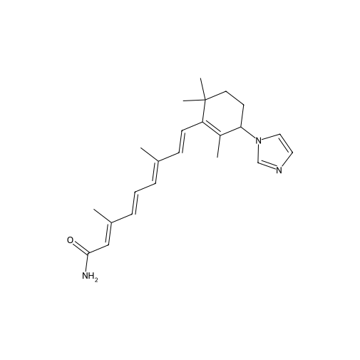 CC1=C(/C=C/C(C)=C/C=C/C(C)=C/C(N)=O)C(C)(C)CCC1n1ccnc1